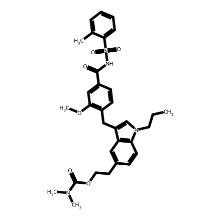 CCCn1cc(Cc2ccc(C(=O)NS(=O)(=O)c3ccccc3C)cc2OC)c2cc(CCOC(=O)N(C)C)ccc21